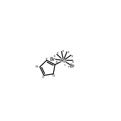 [CH3][Ru]([CH3])([CH3])([CH3])([CH3])([Br])([Br])[C]1=CC=CC1